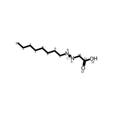 CCCCCCCC/N=N/CC(=O)O